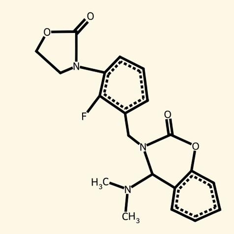 CN(C)C1c2ccccc2OC(=O)N1Cc1cccc(N2CCOC2=O)c1F